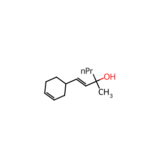 CCCC(C)(O)C=CC1CC=CCC1